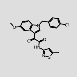 COc1ccc2c(c1)c(C(=O)C(=O)Nc1cc(C)sn1)cn2Cc1ccc(Cl)cc1